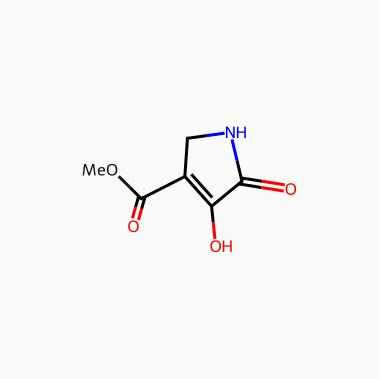 COC(=O)C1=C(O)C(=O)NC1